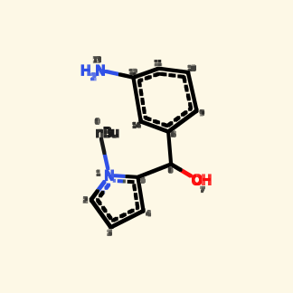 CCCCn1cccc1C(O)c1cccc(N)c1